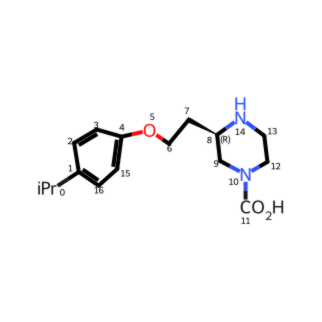 CC(C)c1ccc(OCC[C@@H]2CN(C(=O)O)CCN2)cc1